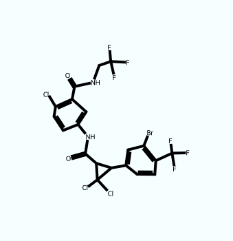 O=C(NCC(F)(F)F)c1cc(NC(=O)C2C(c3ccc(C(F)(F)F)c(Br)c3)C2(Cl)Cl)ccc1Cl